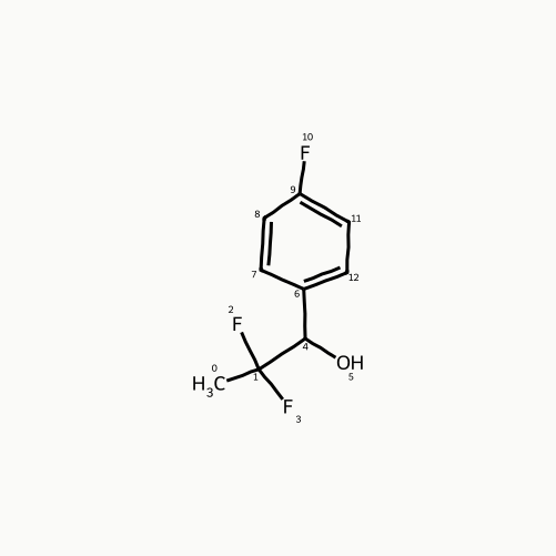 CC(F)(F)C(O)c1ccc(F)cc1